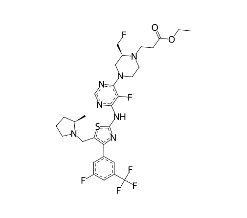 CCOC(=O)CCN1CCN(c2ncnc(Nc3nc(-c4cc(F)cc(C(F)(F)F)c4)c(CN4CCC[C@H]4C)s3)c2F)C[C@H]1CF